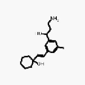 Cc1cc(C=CC2(O)CCCCC2)cc(C(O)CCN)c1